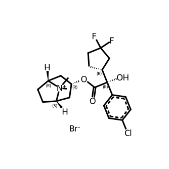 C[N+]1(C)[C@@H]2CC[C@H]1C[C@@H](OC(=O)[C@](O)(c1ccc(Cl)cc1)[C@@H]1CCC(F)(F)C1)C2.[Br-]